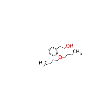 CCCCOCCCC.OCCc1ccccc1